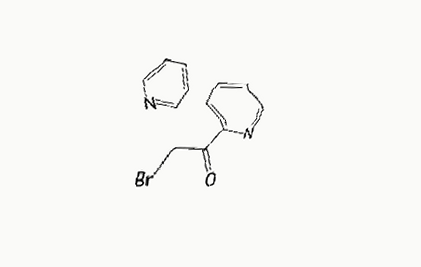 O=C(CBr)c1ccccn1.c1ccncc1